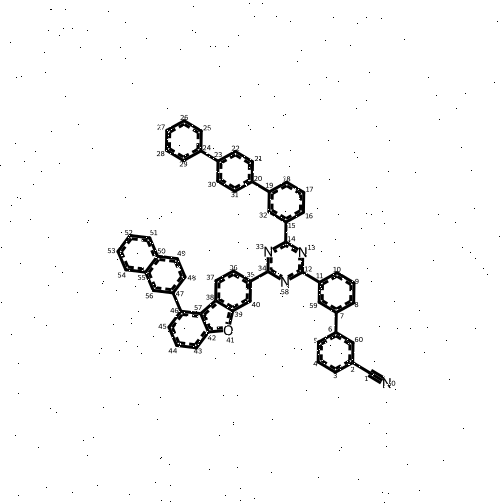 N#Cc1cccc(-c2cccc(-c3nc(-c4cccc(-c5ccc(-c6ccccc6)cc5)c4)nc(-c4ccc5c(c4)oc4cccc(-c6ccc7ccccc7c6)c45)n3)c2)c1